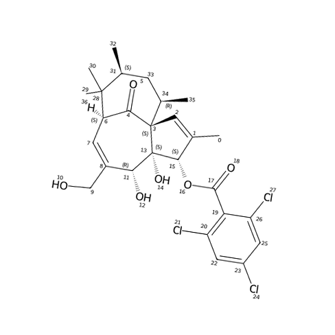 CC1=C[C@]23C(=O)[C@@H](C=C(CO)[C@@H](O)[C@]2(O)[C@H]1OC(=O)c1c(Cl)cc(Cl)cc1Cl)C(C)(C)[C@@H](C)C[C@H]3C